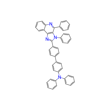 c1ccc(-c2nc3ccccc3c3nc(-c4ccc(-c5ccc(N(c6ccccc6)c6ccccc6)cc5)cc4)n(-c4ccccc4)c23)cc1